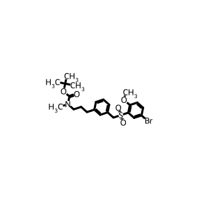 COc1ccc(Br)cc1S(=O)(=O)Cc1cccc(CCCN(C)C(=O)OC(C)(C)C)c1